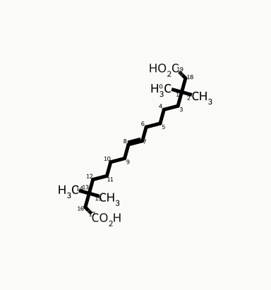 CC(C)(CCCCC=CCCCCC(C)(C)CC(=O)O)CC(=O)O